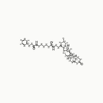 CC1=C2C[C@H]3[C@@H](CC=C4CC(=O)CC[C@@]43C)[C@@H]2CC[C@@]12CC1[C@@H](C[C@H](C)CN1CCNC(=O)CCCCCNC(=O)CCc1ccccc1)O2